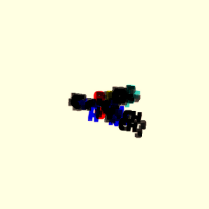 CN(C)c1ncc2c(=O)c(C(=O)NCCN3CCCC3)c3sc4ccc(C(F)(F)F)cc4n3c2n1